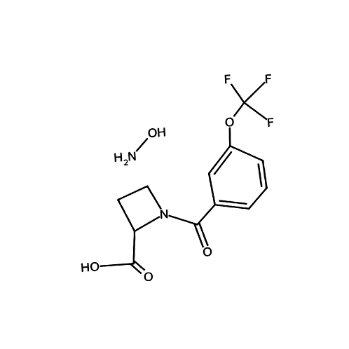 NO.O=C(O)C1CCN1C(=O)c1cccc(OC(F)(F)F)c1